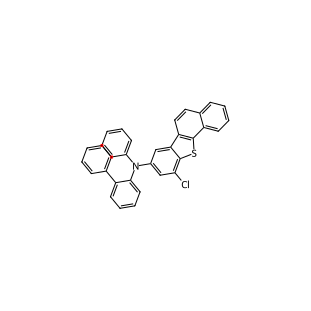 Clc1cc(N(c2ccccc2)c2ccccc2-c2ccccc2)cc2c1sc1c3ccccc3ccc21